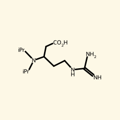 CC(C)N(C(C)C)C(CCNC(=N)N)CC(=O)O